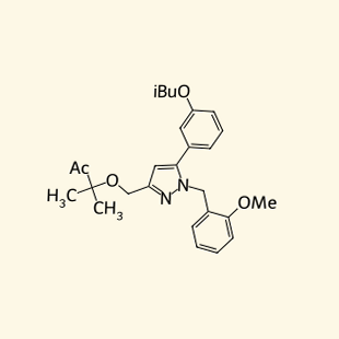 COc1ccccc1Cn1nc(COC(C)(C)C(C)=O)cc1-c1cccc(OCC(C)C)c1